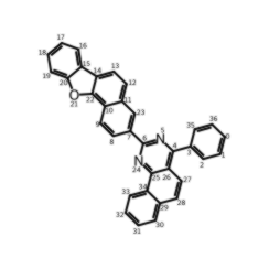 c1ccc(-c2nc(-c3ccc4c(ccc5c6ccccc6oc45)c3)nc3c2ccc2ccccc23)cc1